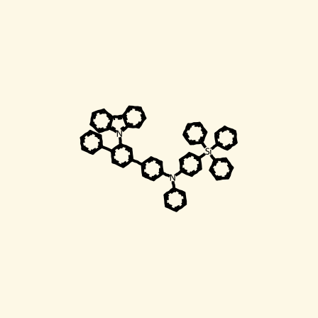 c1ccc(-c2ccc(-c3ccc(N(c4ccccc4)c4ccc([Si](c5ccccc5)(c5ccccc5)c5ccccc5)cc4)cc3)cc2-n2c3ccccc3c3ccccc32)cc1